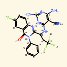 N#Cc1c(N)nc(N)nc1NC(CC(F)(F)F)c1nc2ccc(F)cc2c(=O)n1-c1ccccc1